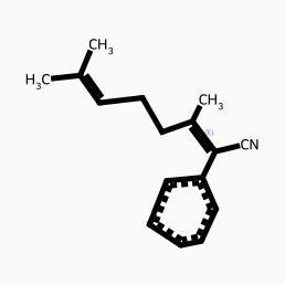 CC(C)=CCC/C(C)=C(/C#N)c1ccccc1